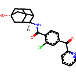 O=C(c1ccc(C(=O)N[C@H]2C3CC4CC2C[C@](O)(C4)C3)c(Cl)c1)c1ccccn1